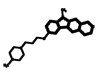 CN1CCN(CCCOc2ccc3c(c2)c2cc4ccncc4cc2n3C)CC1